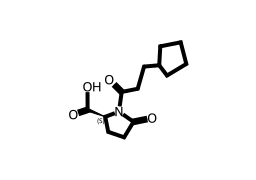 O=C(O)[C@@H]1CCC(=O)N1C(=O)CCC1CCCC1